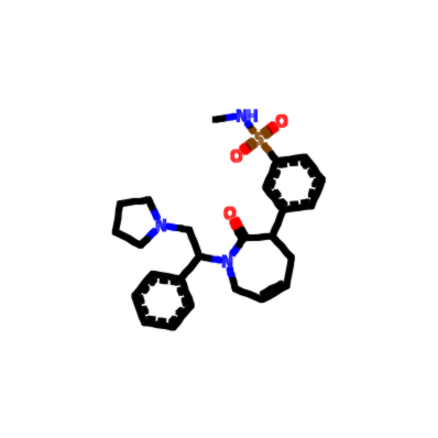 CNS(=O)(=O)c1cccc(C2CC=CCN(C(CN3CCCC3)c3ccccc3)C2=O)c1